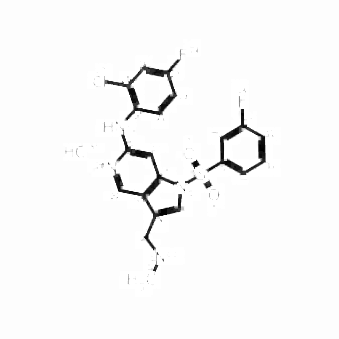 CNCc1cn(S(=O)(=O)c2cccc(F)c2)c2cc(Nc3ccc(F)cc3Cl)ncc12.Cl